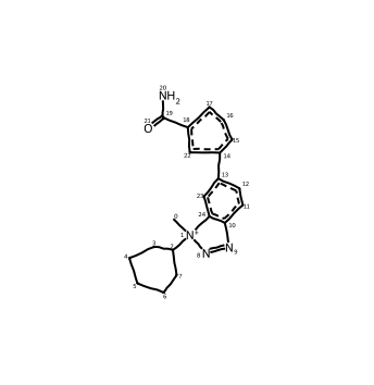 C[N+]1(C2CCCCC2)N=Nc2ccc(-c3cccc(C(N)=O)c3)cc21